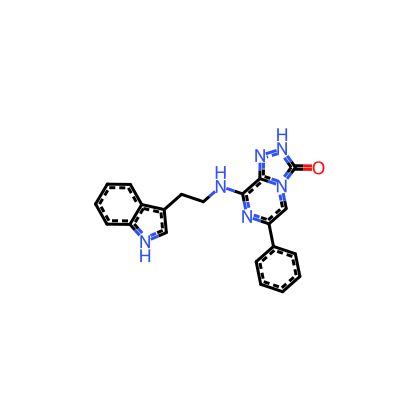 O=c1[nH]nc2c(NCCc3c[nH]c4ccccc34)nc(-c3ccccc3)cn12